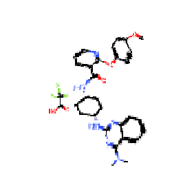 COc1ccc(Oc2ncccc2C(=O)N[C@H]2CC[C@@H](Nc3nc(N(C)C)c4ccccc4n3)CC2)cc1.O=C(O)C(F)(F)F